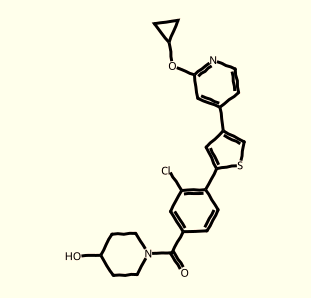 O=C(c1ccc(-c2cc(-c3ccnc(OC4CC4)c3)cs2)c(Cl)c1)N1CCC(O)CC1